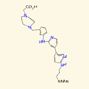 CNCCCNc1ccc(-c2ccnc(Nc3cccc(CN4CCN(CC(=O)O)CC4)c3)c2)cn1